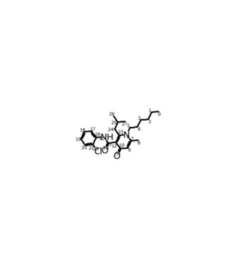 CCCCCCn1c(C)cc(=O)c(C(=O)Nc2ccccc2Cl)c1CC(C)C